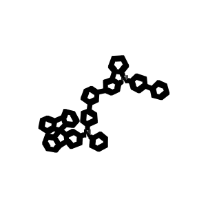 c1ccc(-c2ccc(-n3c4ccccc4c4cc(-c5cccc(-c6ccc(N(c7ccccc7)c7ccc8c(c7)C7(c9ccccc9-c9ccccc97)c7ccccc7-8)cc6)c5)ccc43)cc2)cc1